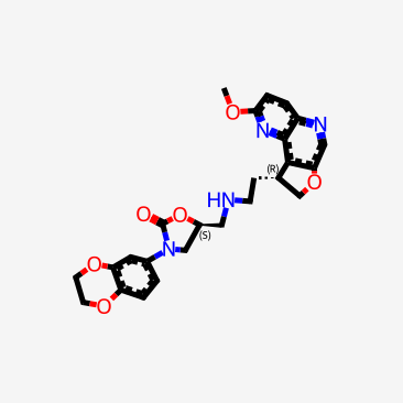 COc1ccc2ncc3c(c2n1)[C@@H](CCNC[C@H]1CN(c2ccc4c(c2)OCCO4)C(=O)O1)CO3